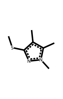 CSc1nn(C)c(C)c1C